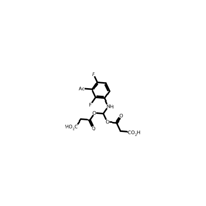 CC(=O)c1c(F)ccc(NC(OC(=O)CC(=O)O)OC(=O)CC(=O)O)c1F